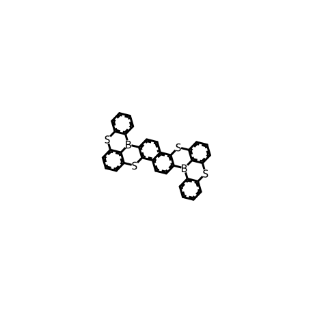 c1ccc2c(c1)Sc1cccc3c1B2c1ccc2c4c(ccc2c1S3)B1c2ccccc2Sc2cccc(c21)S4